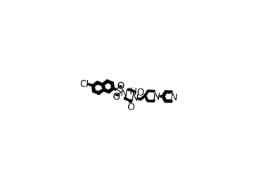 O=C1CN(S(=O)(=O)c2ccc3cc(Cl)ccc3c2)CCN1CC1(O)CCN(c2ccncc2)CC1